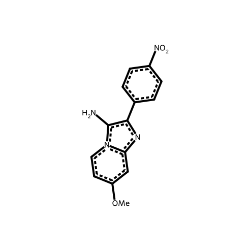 COc1ccn2c(N)c(-c3ccc([N+](=O)[O-])cc3)nc2c1